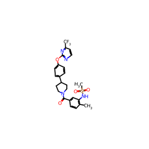 Cc1ccc(C(=O)N2CCC(c3ccc(Oc4nccc(C(F)(F)F)n4)cc3)CC2)cc1NS(C)(=O)=O